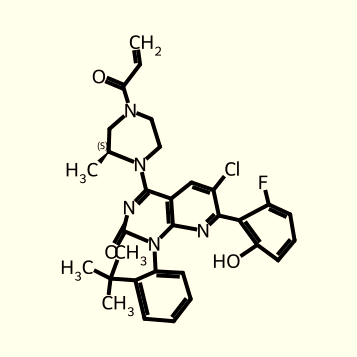 C=CC(=O)N1CCN(c2nc(=O)n(-c3ccccc3C(C)(C)C)c3nc(-c4c(O)cccc4F)c(Cl)cc23)[C@@H](C)C1